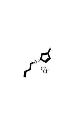 C=CC[CH2][Zr+2][CH]1C=CC(C)=C1.[Cl-].[Cl-]